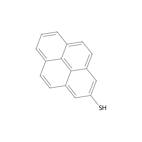 Sc1cc2ccc3cccc4ccc(c1)c2c34